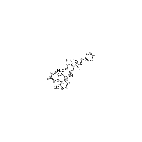 Cc1cc(C)c(S(=O)(=O)NCc2cccnc2)cc1Nc1nc2ccc(F)cc2c2c(Cl)nccc12